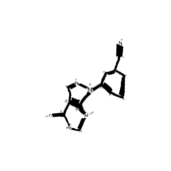 N#Cc1cccc(-n2ncc3c(=O)[nH]cnc32)c1